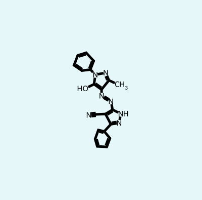 Cc1nn(-c2ccccc2)c(O)c1/N=N/c1[nH]nc(-c2ccccc2)c1C#N